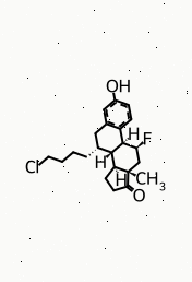 C[C@]12C[C@H](F)[C@@H]3c4ccc(O)cc4C[C@@H](CCCCCl)[C@H]3[C@@H]1CCC2=O